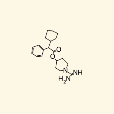 N=C(N)N1CCC(OC(=O)C(c2ccccc2)C2CCCCC2)CC1